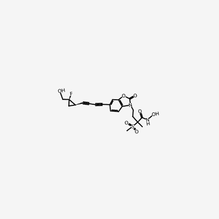 CC(CCn1c(=O)oc2cc(C#CC#C[C@H]3C[C@]3(F)CO)ccc21)(C(=O)NO)S(C)(=O)=O